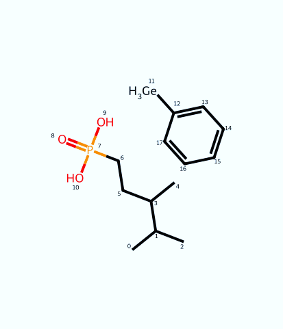 CC(C)C(C)CCP(=O)(O)O.[GeH3][c]1ccccc1